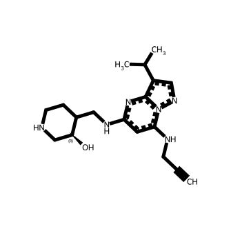 C#CCNc1cc(NCC2CCNC[C@@H]2O)nc2c(C(C)C)cnn12